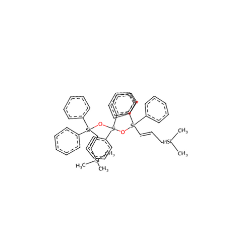 C[SiH](C)CC=C[Si](O[Si](O[Si](C=C[Si](C)(C)C)(c1ccccc1)c1ccccc1)(c1ccccc1)c1ccccc1)(c1ccccc1)c1ccccc1